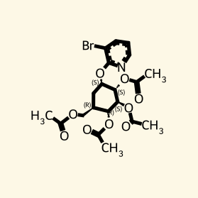 CC(=O)OC[C@H]1C[C@H](Oc2ncccc2Br)[C@H](OC(C)=O)[C@@H](OC(C)=O)[C@@H]1OC(C)=O